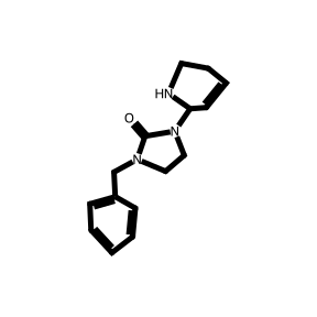 O=C1N(Cc2ccccc2)CCN1C1C=CCCN1